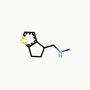 CNCC1CCc2sccc21